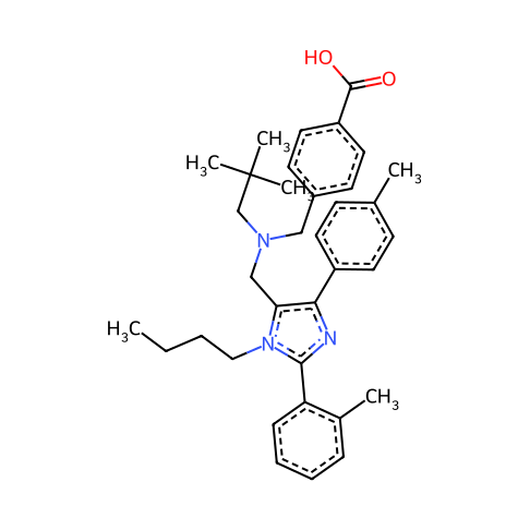 CCCCn1c(-c2ccccc2C)nc(-c2ccc(C)cc2)c1CN(Cc1ccc(C(=O)O)cc1)CC(C)(C)C